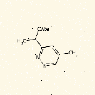 COC(C)c1cc(C)cnn1